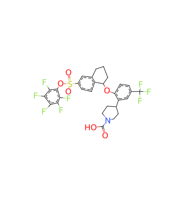 O=C(O)N1CCC(c2cc(C(F)(F)F)ccc2OC2CCCc3cc(S(=O)(=O)Oc4c(F)c(F)c(F)c(F)c4F)ccc32)CC1